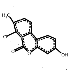 Cc1ccc2c(c1Cl)c(=O)oc1cc(O)ccc12